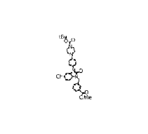 COC(=O)c1cccc(Cn2c(=O)n(-c3ccc(N4CCN(C(=O)OC(C)(C)C)CC4)cc3)c3cc(Cl)ccc32)c1